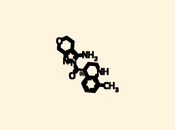 Cc1cccc2c1NCC[C@@H]2C(=O)n1nc2c(c1N)CCOC2